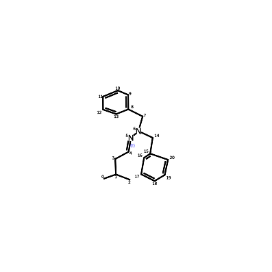 CC(C)C/C=N/N(Cc1ccccc1)Cc1ccccc1